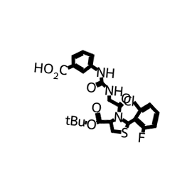 CC(C)(C)OC(=O)C1CSC(c2c(F)cccc2Cl)N1C(=O)CNC(=O)Nc1cccc(C(=O)O)c1